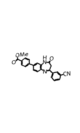 COC(=O)c1ccc(-c2ccc3c(c2)NC(=O)CC(c2cccc(C#N)c2)=N3)cc1